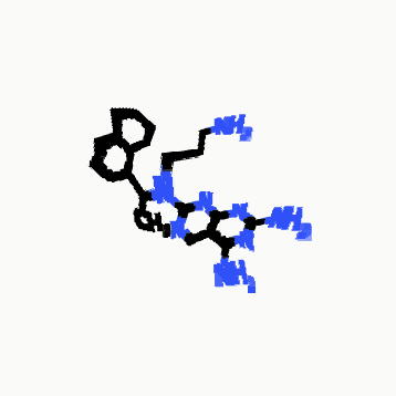 CC(c1cccc2ccccc12)N(CCCN)c1ncc2c(N)nc(N)nc2n1